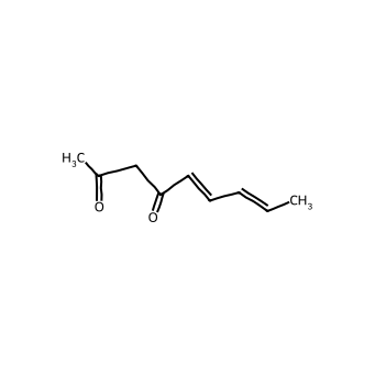 CC=CC=CC(=O)CC(C)=O